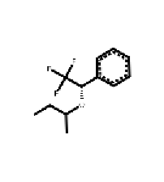 CCC(C)O[C@@H](c1ccccc1)C(F)(F)F